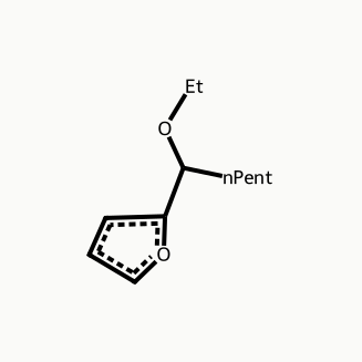 CCCCCC(OCC)c1ccco1